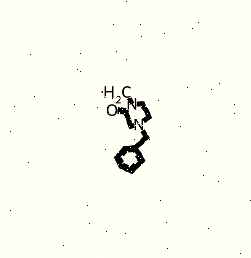 [CH2]N1CCN(Cc2ccccc2)CC1=O